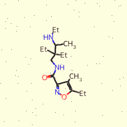 CCNC(C)C(CC)(CC)CNC(=O)c1noc(CC)c1C